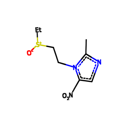 CC[S+]([O-])CCn1c([N+](=O)[O-])cnc1C